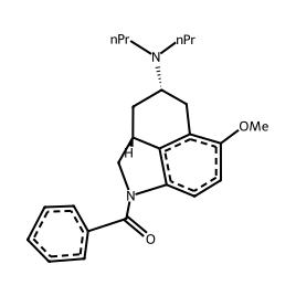 CCCN(CCC)[C@@H]1Cc2c(OC)ccc3c2[C@@H](C1)CN3C(=O)c1ccccc1